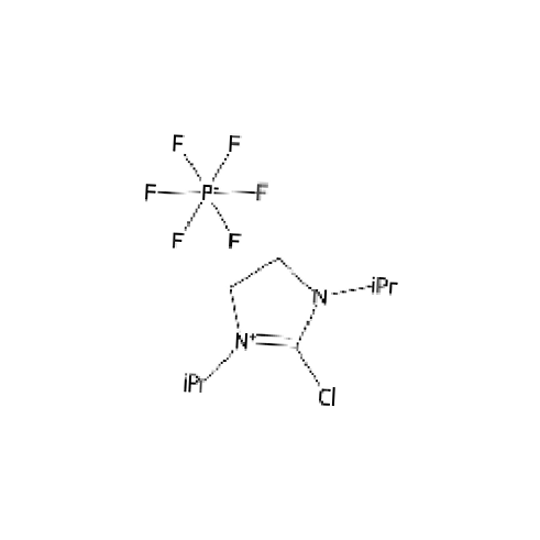 CC(C)N1CC[N+](C(C)C)=C1Cl.F[P-](F)(F)(F)(F)F